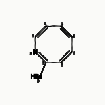 [BaH][C]1=NC=CC=CC=C1